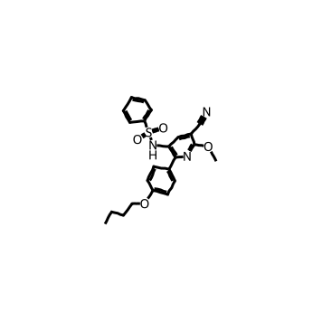 CCCCOc1ccc(-c2nc(OC)c(C#N)cc2NS(=O)(=O)c2ccccc2)cc1